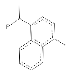 Cc1ccc(C(C)F)c2ccccc12